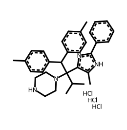 Cc1ccc(C(c2ccc(C)cc2)C(c2nc(-c3ccccc3)[nH]c2C)(C(C)C)N2CCNCC2)cc1.Cl.Cl.Cl